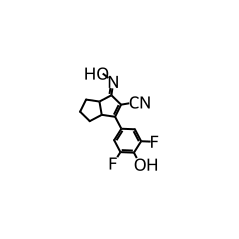 N#CC1=C(c2cc(F)c(O)c(F)c2)C2CCCC2C1=NO